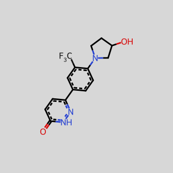 O=c1ccc(-c2ccc(N3CCC(O)C3)c(C(F)(F)F)c2)n[nH]1